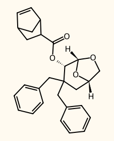 O=C(O[C@@H]1[C@@H]2OC[C@H](CC1(Cc1ccccc1)Cc1ccccc1)O2)C1CC2C=CC1C2